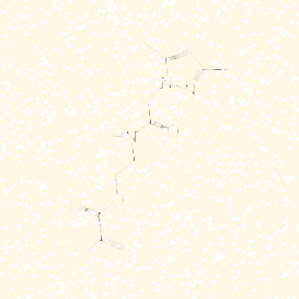 C=C(C)C(=O)OCCNC(=O)On1nc(C)cc1C